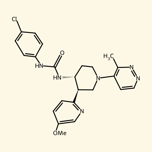 COc1ccc([C@@H]2CN(c3ccnnc3C)CC[C@H]2NC(=O)Nc2ccc(Cl)cc2)nc1